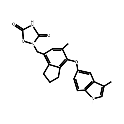 Cc1cc(Cn2oc(=O)[nH]c2=O)c2c(c1Oc1ccc3[nH]cc(C)c3c1)CCC2